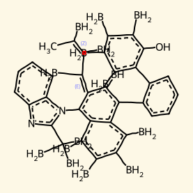 B=c1c(-c2ccccc2-c2c(B)c(B)c(B)c(B)c2O)c2c(B)c(B)c(B)c(B)c2c(-n2c(C(B)(B)B)nc3ccccc32)/c1=C(B)/C(B)=C(/B)C